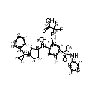 CN(c1cc(F)c(S(=O)(=O)Nc2cscn2)cc1Cl)C1CCN(C2(c3ccccc3)CC2)C1.O=C(O)C(F)(F)F